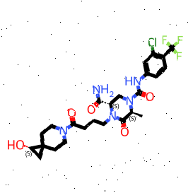 C[C@H]1C(=O)N(CCCC(=O)N2CCC3(CC2)C[C@@H]3O)[C@H](C(N)=O)CN1C(=O)Nc1ccc(C(F)(F)F)c(Cl)c1